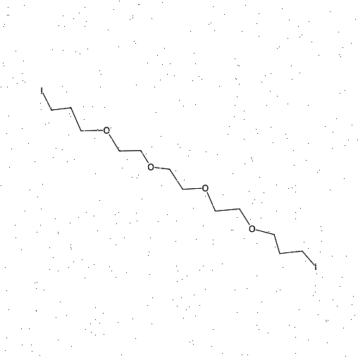 ICCCOCCOCCOCCOCCCI